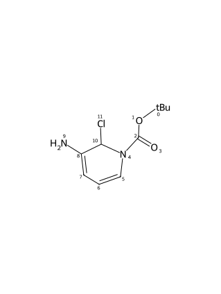 CC(C)(C)OC(=O)N1C=CC=C(N)C1Cl